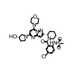 CS(=O)(=O)Nc1ccc(Cl)cc1C(=O)N1CCCC[C@H]1c1cc2nc(N3CC[C@H](O)C3)cc(N3CCOCC3)n2n1